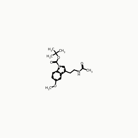 COc1ccc2c(c1)c(CCNC(C)=O)cn2C(=O)OC(C)(C)C